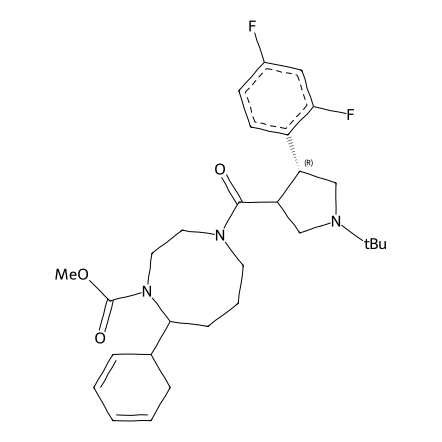 COC(=O)N1CCN(C(=O)C2CN(C(C)(C)C)C[C@H]2c2ccc(F)cc2F)CCCC1C1C=CC=CC1